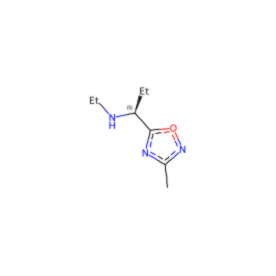 CCN[C@@H](CC)c1nc(C)no1